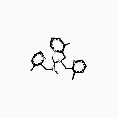 Cc1cccnc1CN(C)C(C)N(Cc1ncccc1C)Cc1ncccc1C